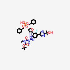 CCN(C(=O)Nc1nc2cc(-c3cnc(C(C)(C)O)nc3)c(F)c([C@H]3CCCO3)c2[nH]1)C(=O)OC(C)(C)C.O=P(O)(OCc1ccccc1)OCc1ccccc1